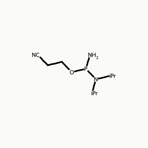 CC(C)N(C(C)C)P(N)OCCC#N